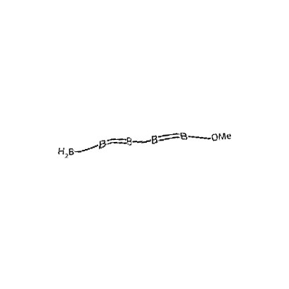 BB=BB=BOC